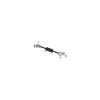 CC#C[NH]